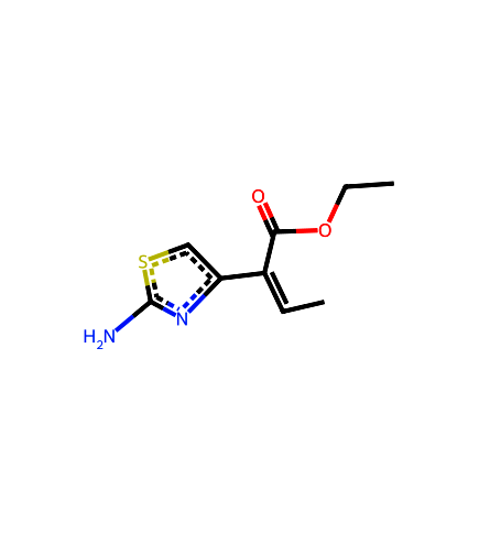 CC=C(C(=O)OCC)c1csc(N)n1